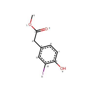 COC(=O)Cc1ccc(O)c(I)c1